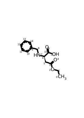 CCOC(=O)C[C@@H](NCc1ccccc1)C(=O)O